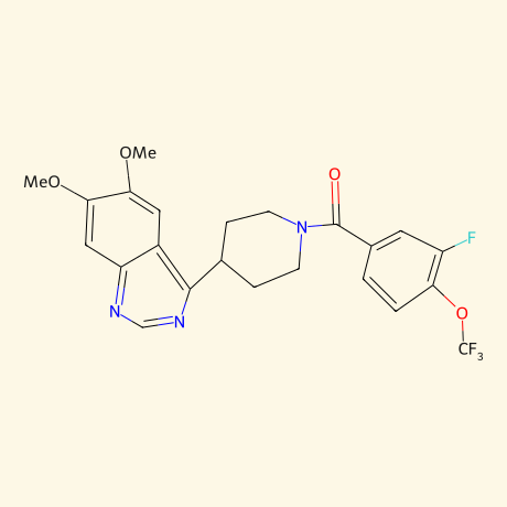 COc1cc2ncnc(C3CCN(C(=O)c4ccc(OC(F)(F)F)c(F)c4)CC3)c2cc1OC